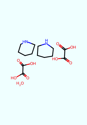 C1CCNCC1.C1CCNCC1.O.O=C(O)C(=O)O.O=C(O)C(=O)O